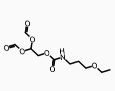 CCOCCCNC(=O)OCC(OC=O)OC=O